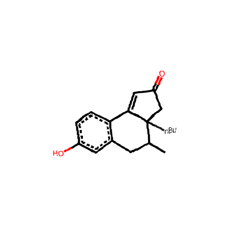 CCCCC12CC(=O)C=C1c1ccc(O)cc1CC2C